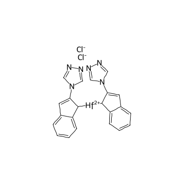 C1=C(n2cnnc2)[CH]([Hf+2][CH]2C(n3cnnc3)=Cc3ccccc32)c2ccccc21.[Cl-].[Cl-]